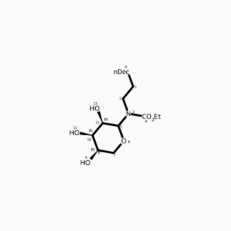 CCCCCCCCCCCCN(C(=O)OCC)C1OC[C@@H](O)[C@@H](O)[C@H]1O